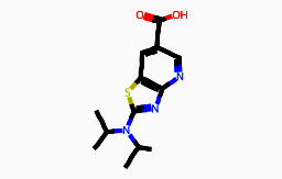 CC(C)N(c1nc2ncc(C(=O)O)cc2s1)C(C)C